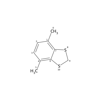 Cc1ccc(C)c2c1SCS2